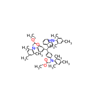 CCOC(=O)CN(c1ccc(C(c2ccc(N(CC(=O)OCC)c3c(C)cc(C)cc3C)cc2)c2ccc(Nc3c(C)cc(C)cc3C)c3ccccc23)cc1)c1c(C)cc(C)cc1C